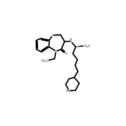 O=C(O)CN1C(=O)C(N[C@H](CCCCC2CCNCC2)C(=O)O)CSc2ccccc21